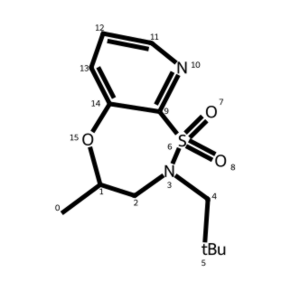 CC1CN(CC(C)(C)C)S(=O)(=O)c2ncccc2O1